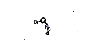 Brc1cccc(/[C]=N/OC2CC2)c1